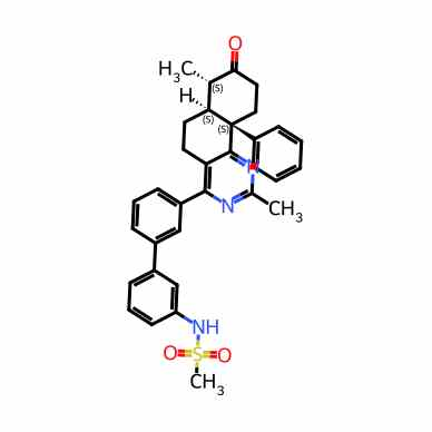 Cc1nc(-c2cccc(-c3cccc(NS(C)(=O)=O)c3)c2)c2c(n1)[C@@]1(c3ccccc3)CCC(=O)[C@@H](C)[C@@H]1CC2